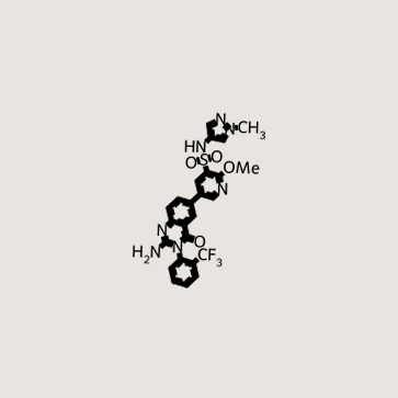 COc1ncc(-c2ccc3nc(N)n(-c4ccccc4C(F)(F)F)c(=O)c3c2)cc1S(=O)(=O)Nc1cnn(C)c1